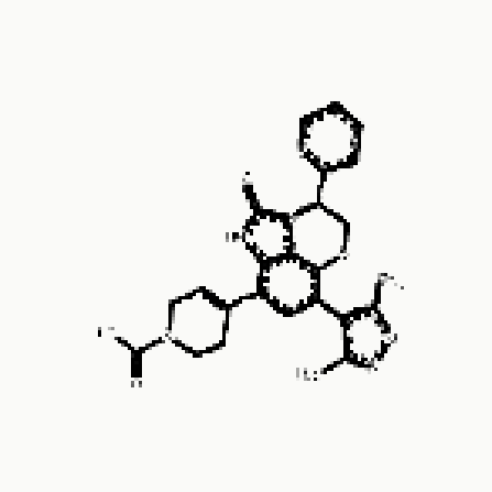 Cc1noc(C)c1-c1cc(C2=CCN(C(=O)O)CC2)c2[nH]c(=O)n3c2c1OC[C@@H]3c1ccccn1